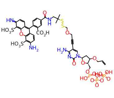 C=CCOC1C[C@H](n2cc(C#CCOCSSC(C)(C)CNC(=O)c3ccc(-c4c5ccc(=N)c(S(=O)(=O)O)c-5oc5c(S(=O)(=O)O)c(N)ccc45)c(C(=O)O)c3)c(N)nc2=O)O[C@@H]1COP(=O)(O)OP(=O)(O)OP(=O)(O)O